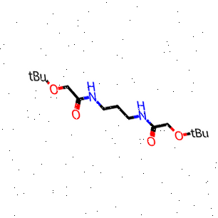 CC(C)(C)OCC(=O)NCCCNC(=O)COC(C)(C)C